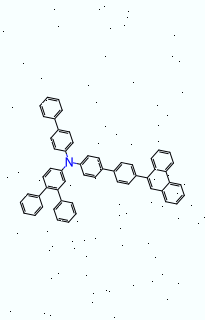 c1ccc(-c2ccc(N(c3ccc(-c4ccc(-c5cc6ccccc6c6ccccc56)cc4)cc3)c3ccc(-c4ccccc4)c(-c4ccccc4)c3)cc2)cc1